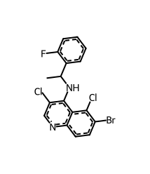 CC(Nc1c(Cl)cnc2ccc(Br)c(Cl)c12)c1ccccc1F